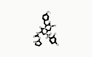 CC(C)N1CC2N(C(=O)C(NC(=O)OC3CCCN3)CN2S(=O)(=O)c2ccc(Cl)cc2Cl)C(Cc2ccc(C(F)(F)F)cc2)C1=O